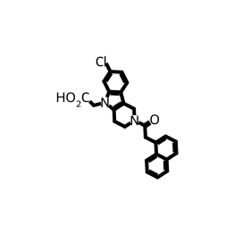 O=C(O)Cn1c2c(c3ccc(Cl)cc31)CN(C(=O)Cc1cccc3ccccc13)CC2